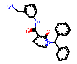 NCc1[c]ccc(NC(=O)c2cccn(C(c3ccccc3)c3ccccc3)c2=O)c1